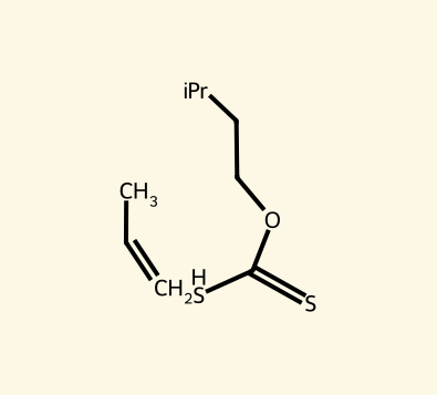 C=CC.CC(C)CCOC(=S)S